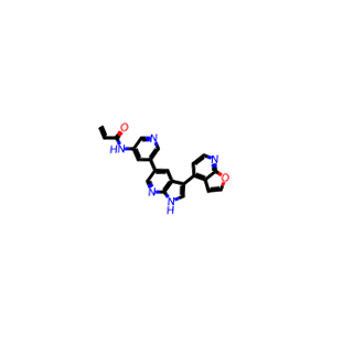 C=CC(=O)Nc1cncc(-c2cnc3[nH]cc(-c4ccnc5occc45)c3c2)c1